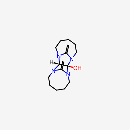 C=C1N2CCCCCN1[C@]1(O)[C@H]2N2CCCCCN1C2=C